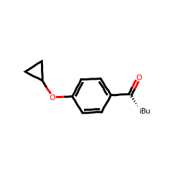 CC[C@@H](C)C(=O)c1ccc(OC2CC2)cc1